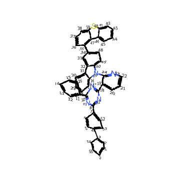 c1ccc(-c2ccc(-c3nc(-c4ccccc4)nc(-c4cccnc4-n4c5ccccc5c5cc(-c6cccc7sc8ccccc8c67)ccc54)n3)cc2)cc1